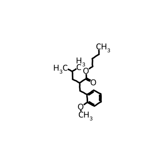 CCCCOC(=O)C(Cc1ccccc1OC)CC(C)C